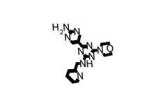 Nc1ncc(-c2nc(NCc3ccccn3)nc(N3CCOCC3)n2)cn1